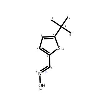 CC(C)(C)c1ccc(/C=N/O)s1